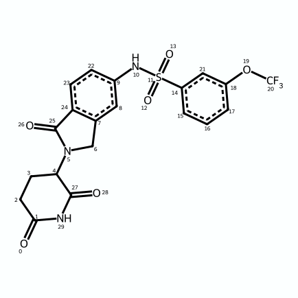 O=C1CCC(N2Cc3cc(NS(=O)(=O)c4cccc(OC(F)(F)F)c4)ccc3C2=O)C(=O)N1